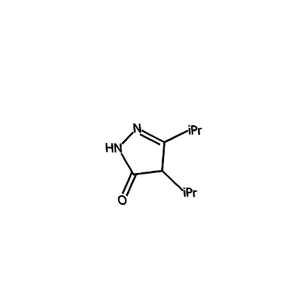 CC(C)C1=NNC(=O)C1C(C)C